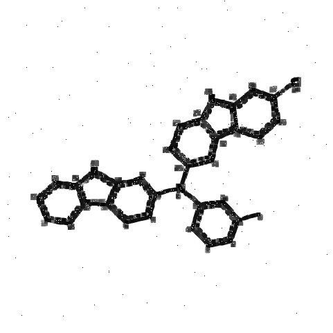 Cc1cccc(N(c2ccc3c(c2)sc2ccccc23)c2ccc3sc4cc(Cl)ccc4c3c2)c1